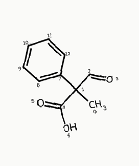 CC([C]=O)(C(=O)O)c1ccccc1